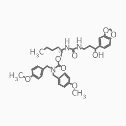 CCCC[C@H](COC(=O)N(Cc1ccc(OC)cc1)Cc1ccc(OC)cc1)NC(=O)NCCC(O)c1ccc2c(c1)OCO2